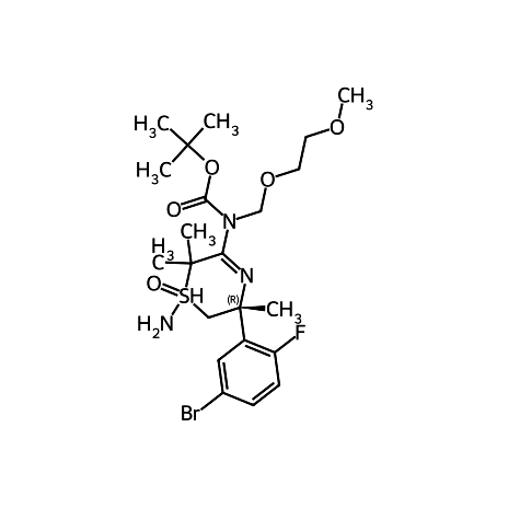 COCCOCN(C(=O)OC(C)(C)C)C1=N[C@](C)(c2cc(Br)ccc2F)C[SH](N)(=O)C1(C)C